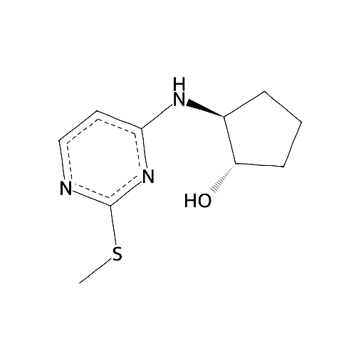 CSc1nccc(N[C@H]2CCC[C@@H]2O)n1